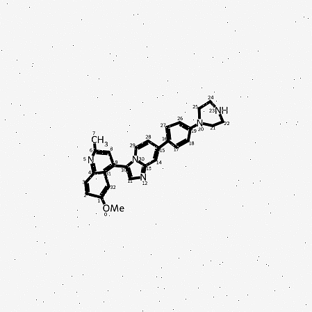 COc1ccc2nc(C)cc(-c3cnc4cc(-c5ccc(N6CCNCC6)cc5)ccn34)c2c1